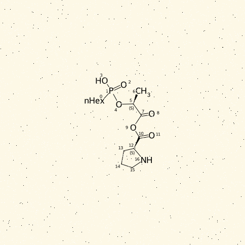 CCCCCCP(=O)(O)O[C@@H](C)C(=O)OC(=O)[C@@H]1CCCN1